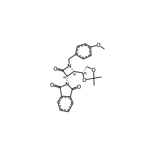 COc1ccc(CN2C(=O)[C@@H](N3C(=O)c4ccccc4C3=O)[C@H]2[C@@H]2COC(C)(C)O2)cc1